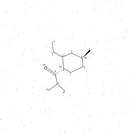 CCC1C[C@@H](C)CC[C@@H]1C(=O)C(C)C